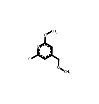 COCc1cc(Cl)nc(OC)c1